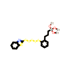 CCO[Si](CCCc1ccccc1SSSSSc1nc2ccccc2s1)(OCC)OCC